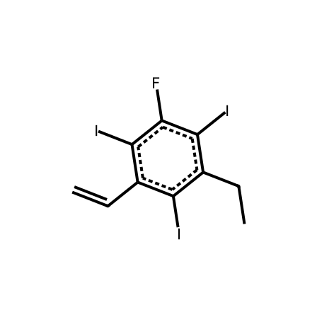 C=Cc1c(I)c(F)c(I)c(CC)c1I